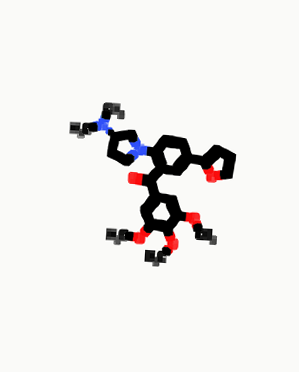 COc1cc(C(=O)c2cc(-c3ccco3)ccc2N2CC[C@H](N(C)C)C2)cc(OC)c1OC